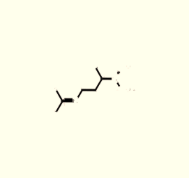 CO[SiH](OC)C(C)CCN=C(C)C